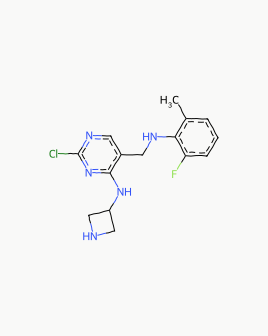 Cc1cccc(F)c1NCc1cnc(Cl)nc1NC1CNC1